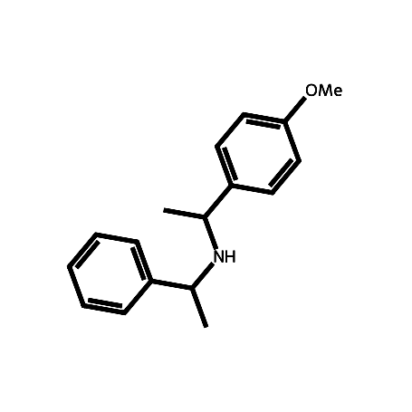 COc1ccc(C(C)NC(C)c2ccccc2)cc1